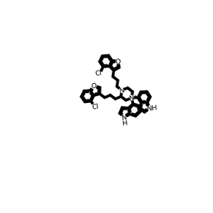 Clc1cccc2occ(CCCC3C[N+](c4cccc5[nH]ccc45)(c4cccc5[nH]ccc45)CCN3CCCc3coc4cccc(Cl)c34)c12